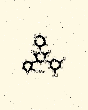 COc1ncccc1-c1cn(-c2cc(Cl)cc(Cl)c2)c(=O)n(-c2cccnc2)c1=O